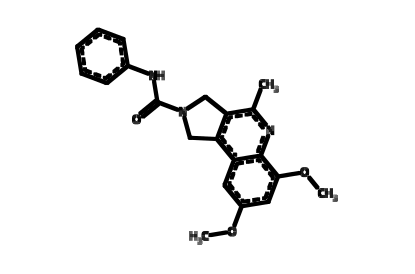 COc1cc(OC)c2nc(C)c3c(c2c1)CN(C(=O)Nc1ccccc1)C3